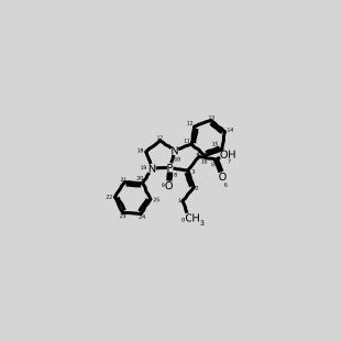 CC/C=C(/CC(=O)O)P1(=O)N(c2ccccc2)CCN1c1ccccc1